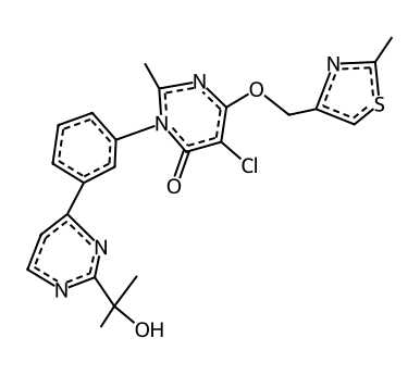 Cc1nc(COc2nc(C)n(-c3cccc(-c4ccnc(C(C)(C)O)n4)c3)c(=O)c2Cl)cs1